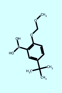 COCOc1ccc(C(C)(C)C)cc1B(O)O